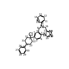 ClC1(c2ccc3c(c2)CN(c2ccccn2)Cc2nncn2-3)CCC(c2ccccc2)CC1